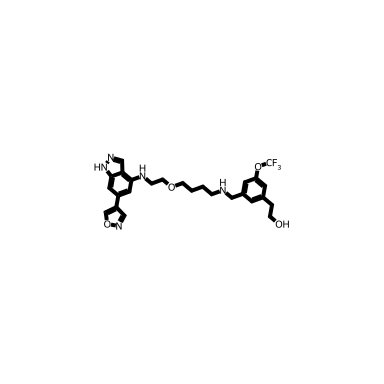 OCCc1cc(CNCCCCOCCNc2cc(-c3cnoc3)cc3[nH]ncc23)cc(OC(F)(F)F)c1